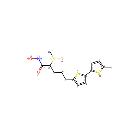 Cc1ccc(-c2ccc(CCCC(C(=O)NO)[S+](C)[O-])s2)s1